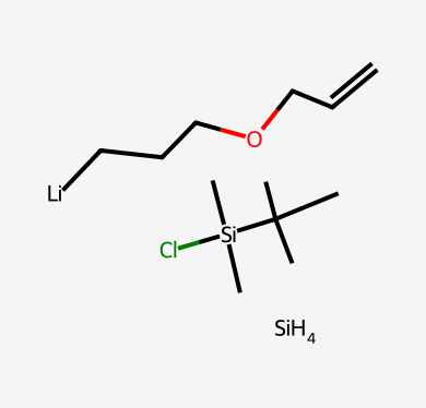 CC(C)(C)[Si](C)(C)Cl.[Li][CH2]CCOCC=C.[SiH4]